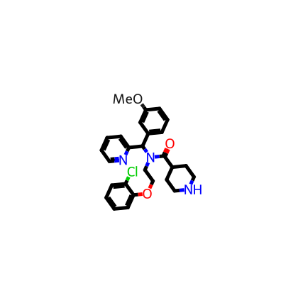 COc1cccc(C(c2ccccn2)N(CCOc2ccccc2Cl)C(=O)C2CCNCC2)c1